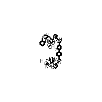 COC(=O)N[C@@H](Cc1cn(Cc2ccccc2)cn1)C(=O)N1CCCC1c1ncc(-c2ccc(-c3ccc(-c4cnc([C@@H]5CCCN5C(=O)[C@@H](OC(N)=O)C(C)C)[nH]4)cc3)cc2)[nH]1